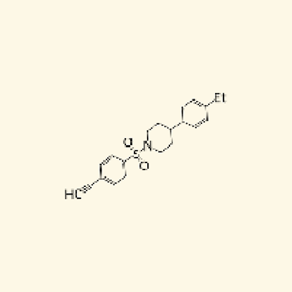 C#Cc1ccc(S(=O)(=O)N2CCC(c3ccc(CC)cc3)CC2)cc1